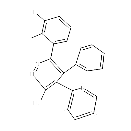 Oc1nnc(-c2cccc(F)c2F)c(-c2ccccc2)c1-c1ccccn1